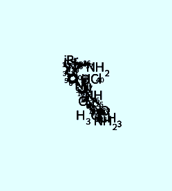 CC(C)CC(Cc1ccc(-n2ccc(NC(=O)N3CCN(C(=O)C(C)(C)N)CC3)nc2=O)cc1)N1CC2C(CN)C2C1.Cl